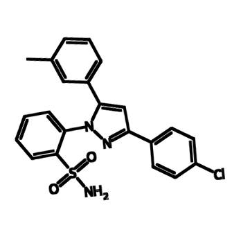 Cc1cccc(-c2cc(-c3ccc(Cl)cc3)nn2-c2ccccc2S(N)(=O)=O)c1